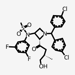 C[C@H](CO)CC(=O)[C@@H]1C(N(c2cc(F)cc(F)c2)S(C)(=O)=O)CN1C(c1ccc(Cl)cc1)c1ccc(Cl)cc1